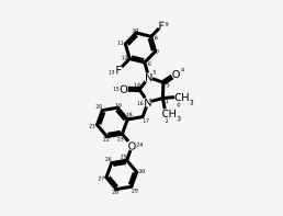 CC1(C)C(=O)N(c2cc(F)ccc2F)C(=O)N1Cc1ccccc1Oc1ccccc1